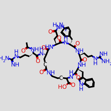 CC(=O)N[C@@H](CCCNC(=N)N)C(=O)N[C@H]1CCC(=O)NCCCC(C(=O)O)NC(=O)[C@H](Cc2c[nH]c3ccccc23)NC(=O)[C@H](CCCNC(=N)N)NC(=O)[C@@H](Cc2ccc(N)cc2)NC(=O)[C@H](CCC(N)=O)NC1=O